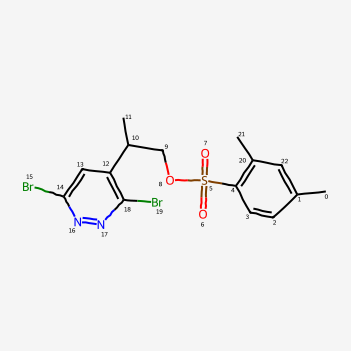 Cc1ccc(S(=O)(=O)OCC(C)c2cc(Br)nnc2Br)c(C)c1